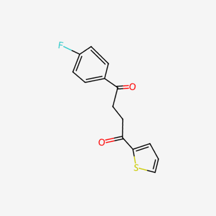 O=C(CCC(=O)c1cccs1)c1ccc(F)cc1